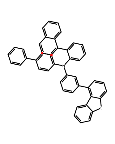 c1ccc(-c2ccc(N(c3cccc(-c4cccc5sc6ccccc6c45)c3)c3ccccc3-c3cccc4ccccc34)cc2)cc1